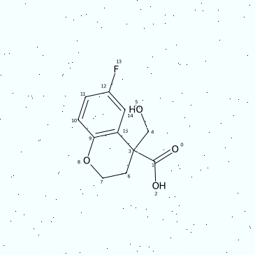 O=C(O)C1(CO)CCOc2ccc(F)cc21